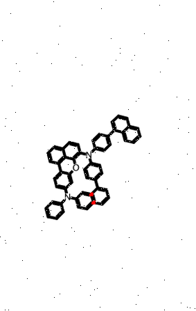 c1ccc(-c2ccc(N(c3ccc(-c4cccc5ccccc45)cc3)c3ccc4cccc5c4c3Oc3cc(N(c4ccccc4)c4ccccc4)ccc3-5)cc2)cc1